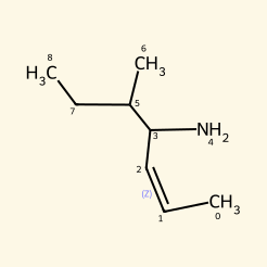 C/C=C\C(N)C(C)CC